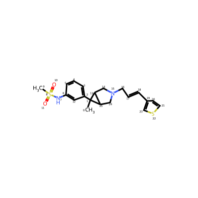 CC1(c2cccc(NS(C)(=O)=O)c2)C2CN(CC=Cc3ccsc3)CC21